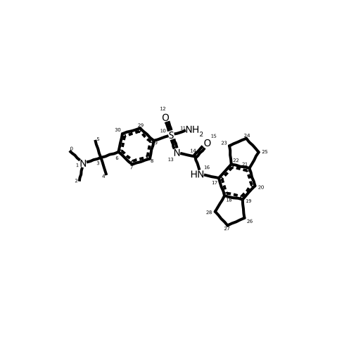 CN(C)C(C)(C)c1ccc(S(N)(=O)=NC(=O)Nc2c3c(cc4c2CCC4)CCC3)cc1